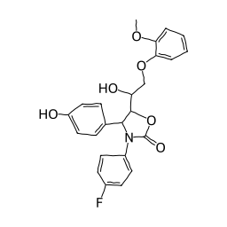 COc1ccccc1OCC(O)C1OC(=O)N(c2ccc(F)cc2)C1c1ccc(O)cc1